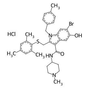 Cc1ccc(Cn2c(CSc3c(C)cc(C)cc3C)c(C(=O)NC3CCN(C)CC3)c3cc(O)c(Br)cc32)cc1.Cl